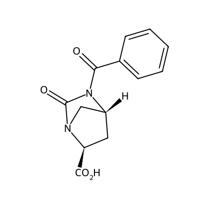 O=C(O)[C@@H]1C[C@@H]2CN1C(=O)N2C(=O)c1ccccc1